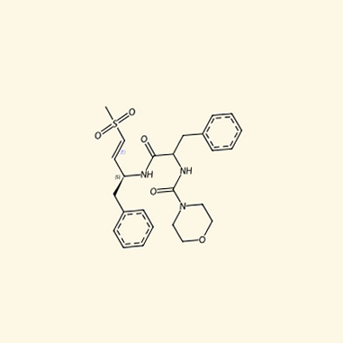 CS(=O)(=O)/C=C/[C@H](Cc1ccccc1)NC(=O)C(Cc1ccccc1)NC(=O)N1CCOCC1